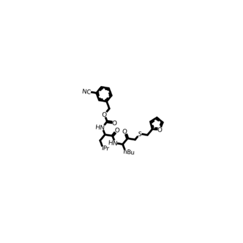 CCCCC(NC(=O)C(CC(C)C)NC(=O)OCc1cccc(C#N)c1)C(=O)CSCc1ccco1